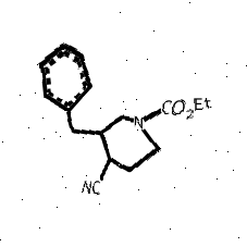 CCOC(=O)N1CCC(C#N)C(Cc2ccccc2)C1